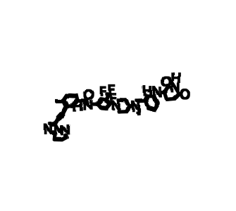 Cc1ccc(C(=O)Nc2ccc(N3CCC(N(C)Cc4cccc(NC5CCC(=O)NC5=O)c4)CC3)c(C(F)(F)F)c2)cc1C#Cc1cnc2cccnn12